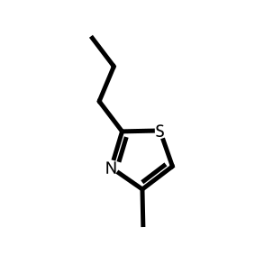 CCCc1nc(C)cs1